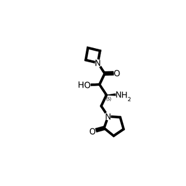 N[C@@H](CN1CCCC1=O)C(O)C(=O)N1CCC1